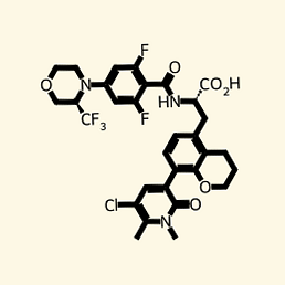 Cc1c(Cl)cc(-c2ccc(C[C@H](NC(=O)c3c(F)cc(N4CCOC[C@@H]4C(F)(F)F)cc3F)C(=O)O)c3c2OCCC3)c(=O)n1C